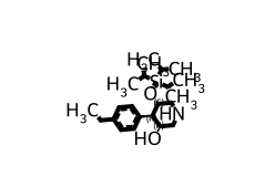 CCc1ccc([C@@H]2[C@@H](O)CNC[C@H]2O[Si](C(C)C)(C(C)C)C(C)C)cc1